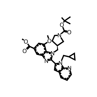 COC(=O)c1cc(OC)c2c(c1)nc(-c1cc3cccnc3n1CC1CC1)n2C[C@H]1CCN(C(=O)OC(C)(C)C)C1